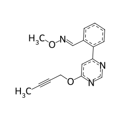 CC#CCOc1cc(-c2ccccc2C=NOC)ncn1